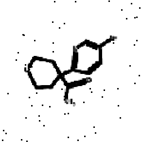 NC(=O)C1(c2ccc(Br)cn2)CCOCC1